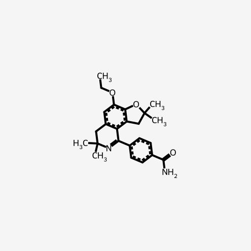 CCOc1cc2c(c3c1OC(C)(C)C3)C(c1ccc(C(N)=O)cc1)=NC(C)(C)C2